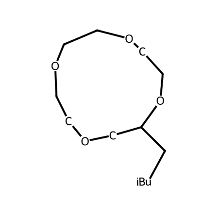 CCC(C)CC1COCCOCCOCCO1